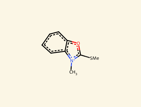 CSc1oc2ccccc2[n+]1C